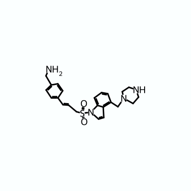 NCc1ccc(C=CCS(=O)(=O)n2ccc3c(CN4CCNCC4)cccc32)cc1